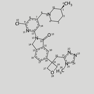 C[C@H]1CCCN(Cc2cc(Cl)nc(N3Cc4ccc(C5(Cc6nncn6C)COC5)cc4C3=O)c2)C1